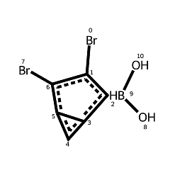 Brc1cc2cc-2c1Br.OBO